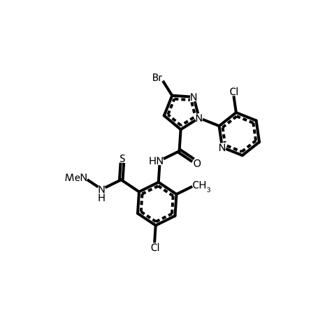 CNNC(=S)c1cc(Cl)cc(C)c1NC(=O)c1cc(Br)nn1-c1ncccc1Cl